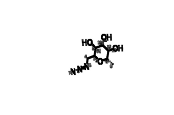 C[C@@H]1OC(CN=[N+]=[N-])[C@@H](O)[C@H](O)C1O